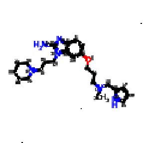 CN(CCCOc1ccc2nc(N)n(CCCN3CCCCC3)c2c1)Cc1ccc[nH]1